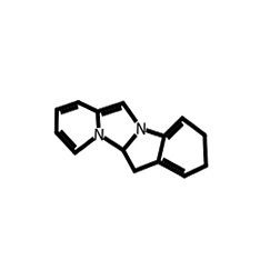 C1=CC2=CN3C4=CCCC=C4CC3N2C=C1